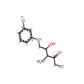 NC(C(=O)CCl)C(O)COc1cccc(Cl)c1